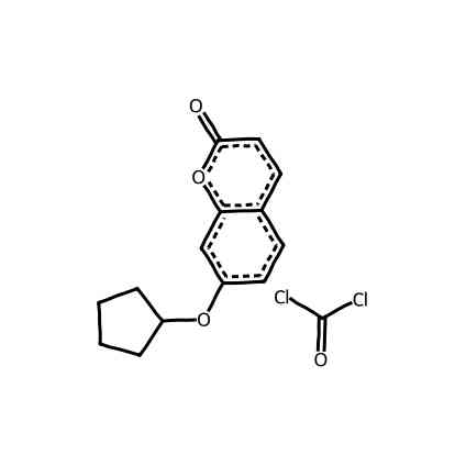 O=C(Cl)Cl.O=c1ccc2ccc(OC3CCCC3)cc2o1